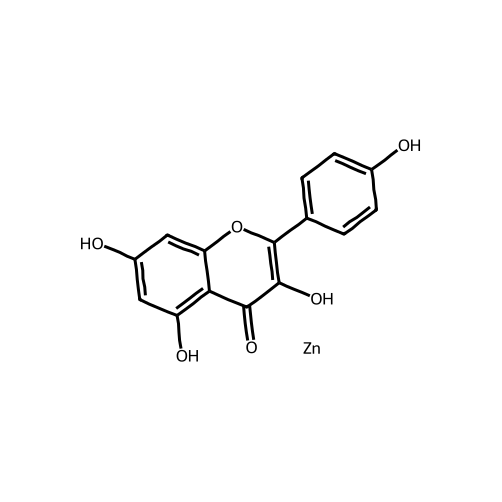 O=c1c(O)c(-c2ccc(O)cc2)oc2cc(O)cc(O)c12.[Zn]